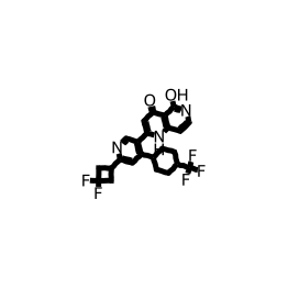 O=c1cc(-c2cnc(C3CC(F)(F)C3)cc2C2CCC(C(F)(F)F)CC2)[nH]c2ccnc(O)c12